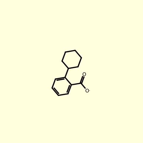 [O]C(=O)c1ccccc1C1CCCCC1